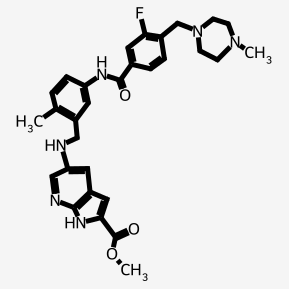 COC(=O)c1cc2cc(NCc3cc(NC(=O)c4ccc(CN5CCN(C)CC5)c(F)c4)ccc3C)cnc2[nH]1